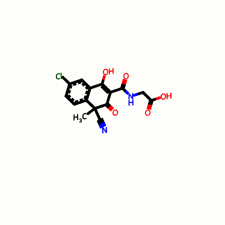 CC1(C#N)C(=O)C(C(=O)NCC(=O)O)=C(O)c2cc(Cl)ccc21